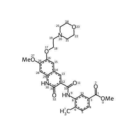 COC(=O)c1ccc(C)c(NC(=O)c2cc3cc(OCCN4CCOCC4)c(OC)cc3[nH]c2=O)c1